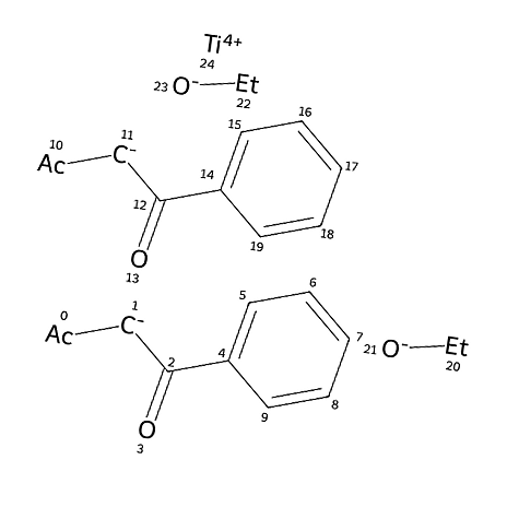 CC(=O)[CH-]C(=O)c1ccccc1.CC(=O)[CH-]C(=O)c1ccccc1.CC[O-].CC[O-].[Ti+4]